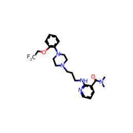 CN(C)C(=O)c1cccnc1NCCCN1CCN(c2ccccc2OCC(F)(F)F)CC1